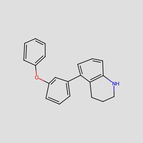 c1ccc(Oc2cccc(-c3cccc4c3CCCN4)c2)cc1